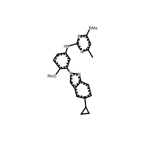 CNc1cc(C)nc(Nc2ccc(OC)c(-n3cc4cc(C5CC5)ccc4n3)c2)n1